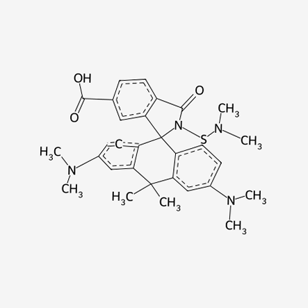 CN(C)SN1C(=O)c2ccc(C(=O)O)cc2C12c1ccc(N(C)C)cc1C(C)(C)c1cc(N(C)C)ccc12